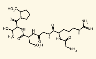 CC(O)C(NC(=O)C(CS(=O)(=O)O)NC(=O)CNC(=O)C(CCCNC(=N)N)NC(=O)CN)C(=O)N1CCCC1C(=O)O